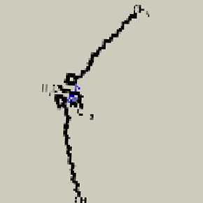 CCCCCCCCCCCCCCCC#CCCCc1ccccc1N=C(CCCC)C(CCCC)=[N+]([Ni])c1ccccc1CCCC#CCCCCCCCCCCCCCCC